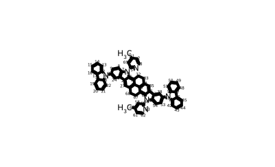 Cc1ccnc(-n2c3ccc(N4c5ccccc5C5C=CC=CC54)cc3c3cc4c5c(c32)CCc2cc3c6cc(-n7c8ccccc8c8ccccc87)ccc6n(-c6cc(C)ccn6)c3c(c2-5)CC4)c1